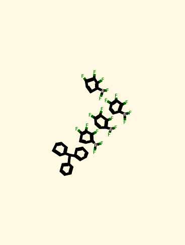 FB(F)c1ccc(F)c(F)c1F.FB(F)c1ccc(F)c(F)c1F.FB(F)c1ccc(F)c(F)c1F.FB(F)c1ccc(F)c(F)c1F.c1ccc(C(c2ccccc2)c2ccccc2)cc1